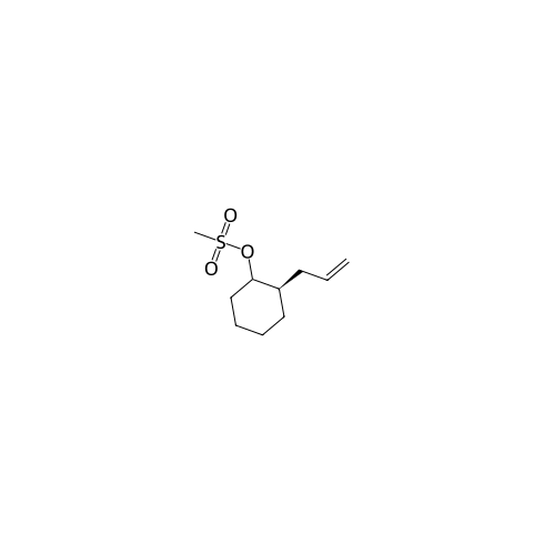 C=CC[C@H]1CCCCC1OS(C)(=O)=O